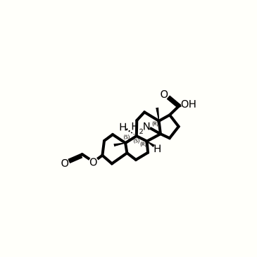 C[C@]12CCC(OC=O)CC1CC[C@@H]1[C@@H]2CC[C@]2(C)C(C(=O)O)CCC12N